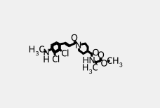 CNc1ccc(C=CC(=O)N2CCC(C(=O)NC(C)C(=O)OC)CC2)c(Cl)c1Cl